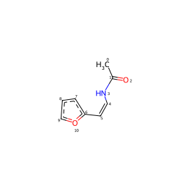 CC(=O)N/C=C\c1ccco1